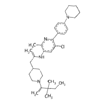 C=C(CC1CCN(C(=C)C(C)(C)CC)CC1)Nc1cc(Cl)c(-c2ccc(N3CCCCC3)cc2)nc1C